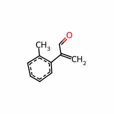 C=C(C=O)c1ccccc1C